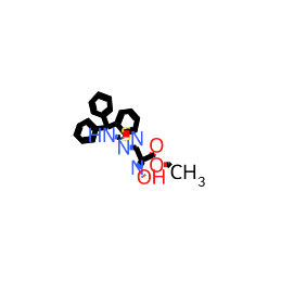 CCOC(=O)C(=NO)c1nsc(NC(c2ccccc2)(c2ccccc2)c2ccccc2)n1